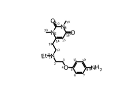 CCN(CCOc1ccc(N)cc1)CCc1cc(=O)n(C)c(=O)n1C